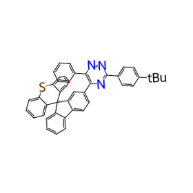 CC(C)(C)c1ccc(-c2nnc(-c3ccccc3)c(-c3ccc4c(c3)C3(c5ccccc5Sc5ccccc53)c3ccccc3-4)n2)cc1